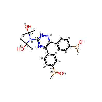 C[S+]([O-])c1ccc(-c2nnc(N(C(C)(C)O)C(C)(C)O)nc2-c2ccc([S+](C)[O-])cc2)cc1